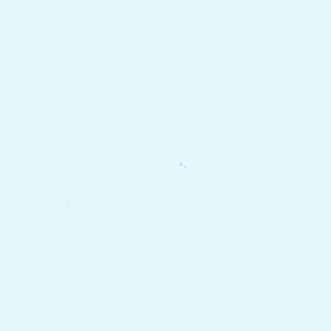 O=Cc1nc(-c2cccc(F)c2)ccc1F